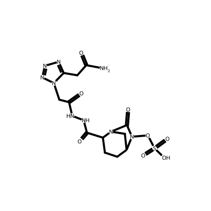 NC(=O)Cc1nnnn1CC(=O)NNC(=O)C1CCC2CN1C(=O)N2OS(=O)(=O)O